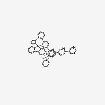 CC1(C)c2ccccc2-c2cc3c(cc21)-c1ccccc1C31c2ccccc2-c2ccccc2-c2ccc(-c3nc(-c4ccccc4)cc(-c4ccc(-c5cccnc5)nc4)n3)cc21